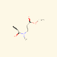 C=CC(=O)N(CCC)CCC(=O)OCCCCCC